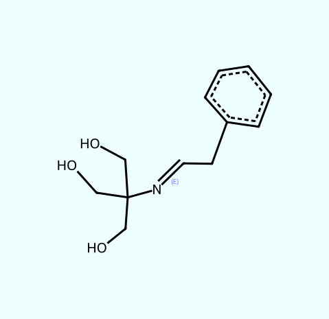 OCC(CO)(CO)/N=C/Cc1ccccc1